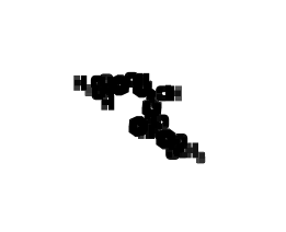 CS(=O)(=O)Nc1ccc(Oc2ccc(CN3CCC(N(C(=O)Nc4ccc(S(C)(=O)=O)cc4)c4ccccc4)CC3)cn2)cc1.Cl